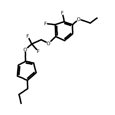 CCCc1ccc(OC(F)(F)COc2ccc(OCC)c(F)c2F)cc1